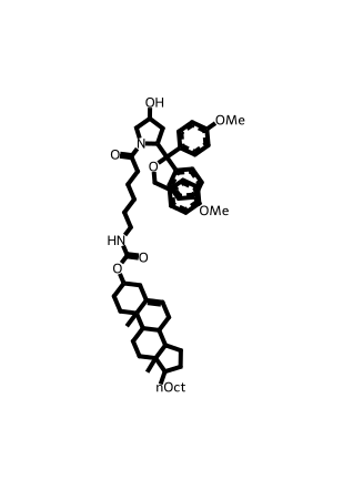 CCCCCCCCC1CCC2C3CC=C4CC(OC(=O)NCCCCCC(=O)N5CC(O)CC5C(OCc5ccccc5)(c5ccc(OC)cc5)c5ccc(OC)cc5)CCC4(C)C3CCC12C